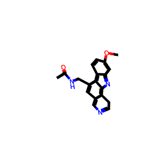 COc1ccc2c(c1)=Nc1c3c(cc(CNC(C)=O)c1=2)=CN=CC3